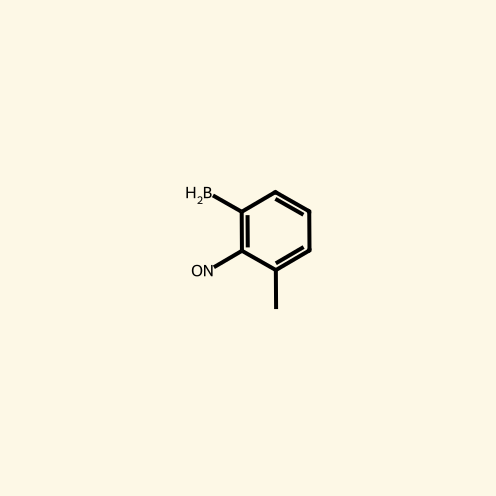 Bc1cccc(C)c1N=O